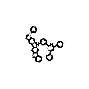 c1ccc(-c2cc(-c3ccccc3)nc(-c3cccc(-n4c5cc6c(cc5c5cc7ccn(-c8ccccc8)c7cc54)sc4ccccc46)c3)n2)cc1